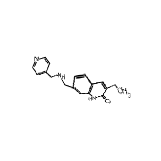 CCc1cc2ccc(CNCc3ccncc3)cc2[nH]c1=O